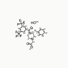 COC(=O)CN1CCN(C(=O)c2cc(C(F)(F)F)cc(C(F)(F)F)c2)[C@H](Cc2ccccc2)C1.Cl